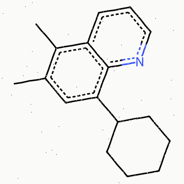 Cc1cc(C2CCCCC2)c2ncccc2c1C